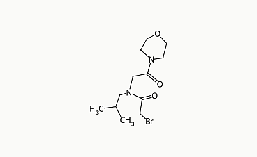 CC(C)CN(CC(=O)N1CCOCC1)C(=O)CBr